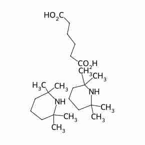 CC1(C)CCCC(C)(C)N1.CC1(C)CCCC(C)(C)N1.O=C(O)CCCCC(=O)O